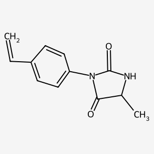 C=Cc1ccc(N2C(=O)NC(C)C2=O)cc1